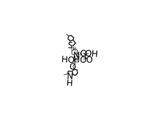 Cc1ccc2cc([C@H]3CCN(C[C@H](O)COc4cccc5[nH]c(C)cc45)[C@@H](C)C3)sc2c1.O=C(O)C(=O)O